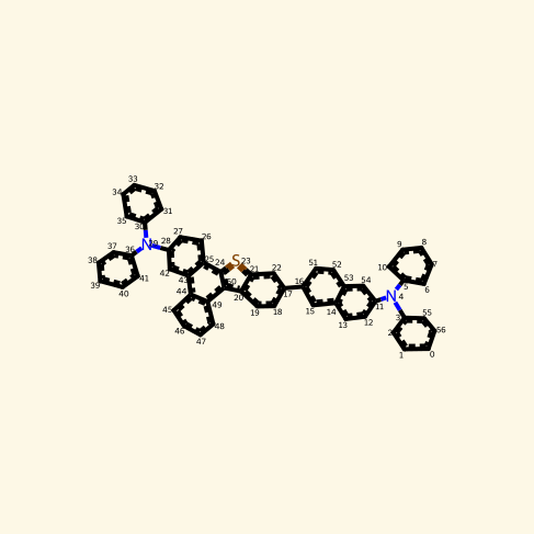 c1ccc(N(c2ccccc2)c2ccc3cc(-c4ccc5c(c4)sc4c6ccc(N(c7ccccc7)c7ccccc7)cc6c6ccccc6c54)ccc3c2)cc1